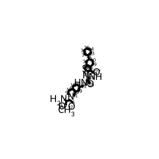 COCC(N)C(C=O)N1CCc2ccc(CNC(=O)c3nc4sc5c(c4c(=O)[nH]3)CCC(c3ccccc3)C5)cc2C1